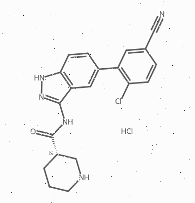 Cl.N#Cc1ccc(Cl)c(-c2ccc3[nH]nc(NC(=O)[C@H]4CCCNC4)c3c2)c1